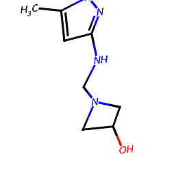 Cc1cc(NCN2CC(O)C2)n[nH]1